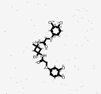 CCC1(NC(=O)COc2ccc(Cl)c(Cl)c2)CC(C)(NC(=O)COc2ccc(Cl)c(Cl)c2)C1